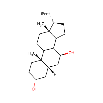 CCC[C@@H](C)[C@H]1CCC2C3C(CC[C@@]21C)[C@@]1(C)CC[C@@H](O)C[C@H]1C[C@@H]3O